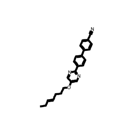 CC/C=C/CCCOc1cnc(-c2ccc(-c3ccc(C#N)cc3)cc2)nc1